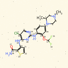 C[C@H]1CN(C)CCN1c1ccc(Nc2ncc(Cl)c(Nc3ccsc3C(N)=O)n2)c(OC(F)F)c1